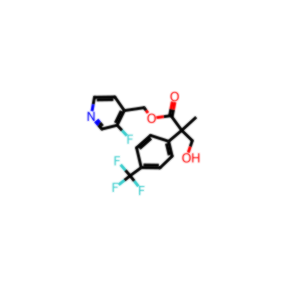 CC(CO)(C(=O)OCc1ccncc1F)c1ccc(C(F)(F)F)cc1